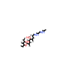 CCCNCCCNC[C@@H](C)CC(C)C(O)[C@H](C)CC(C)COC(CC)C(C)[C@H](O)CC